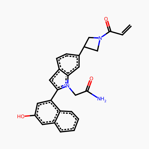 C=CC(=O)N1CC(c2ccc3cc(-c4cc(O)cc5ccccc45)n(CC(N)=O)c3c2)C1